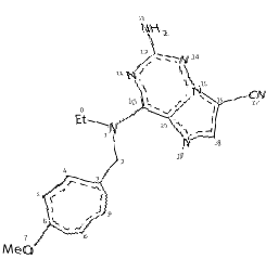 CCN(Cc1ccc(OC)cc1)c1nc(N)nn2c(C#N)cnc12